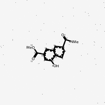 CNC(=O)c1ccc2c(O)cc(C(=O)OC)cc2c1